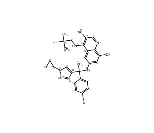 BC(Nc1cc(Cl)c2ncc(C#N)c(NCC(C)(C)F)c2c1)(c1ccc(F)cc1)c1cn(C2CC2)nn1